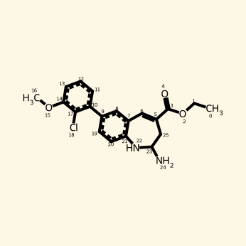 CCOC(=O)C1=Cc2cc(-c3cccc(OC)c3Cl)ccc2NC(N)C1